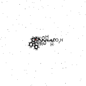 Cn1ncc(NC(=O)C(=O)NCCNC(=O)O)c1NC(c1ccccc1)(c1ccccc1)c1ccccc1